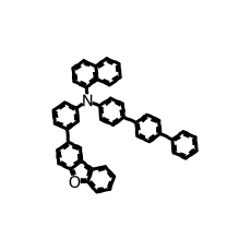 c1ccc(-c2ccc(-c3ccc(N(c4cccc(-c5ccc6oc7ccccc7c6c5)c4)c4cccc5ccccc45)cc3)cc2)cc1